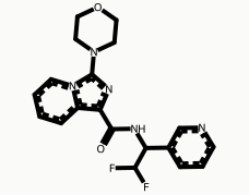 O=C(NC(c1cccnc1)C(F)F)c1nc(N2CCOCC2)n2ccccc12